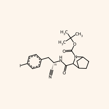 CC(C)(C)OC(=O)N1C2CCC(C2)C1C(=O)N[C@H](C#N)Cc1ccc(I)cc1